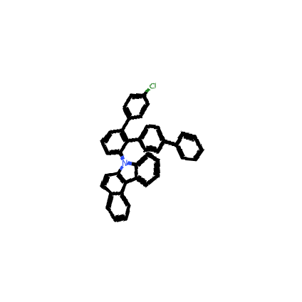 Clc1ccc(-c2cccc(-n3c4ccccc4c4c5ccccc5ccc43)c2-c2ccc(-c3ccccc3)cc2)cc1